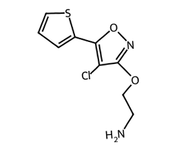 NCCOc1noc(-c2cccs2)c1Cl